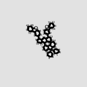 c1ccc(C2(c3ccccc3)c3ccccc3-c3c(-c4c5cccc(-c6ccc7oc8ccccc8c7c6)c5cc5c(-c6ccc7oc8ccccc8c7c6)cccc45)cccc32)cc1